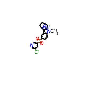 Cn1c2c(c3cc(S(=O)(=O)c4cncc(Cl)c4)ccc31)C1CCC(C2)N1